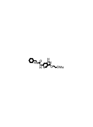 COCCOc1n[nH]c2cc(NC(=O)NCc3ccccc3)ncc12